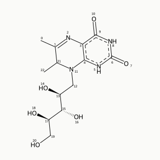 CC1=Nc2c([nH]c(=O)[nH]c2=O)N(C[C@H](O)[C@H](O)[C@H](O)CO)C1C